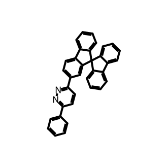 c1ccc(-c2ccc(-c3ccc4c(c3)C3(c5ccccc5-c5ccccc53)c3ccccc3-4)nn2)cc1